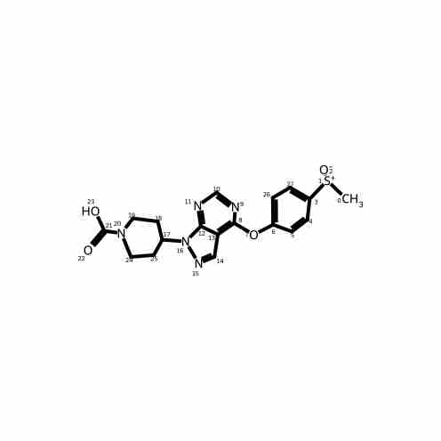 C[S+]([O-])c1ccc(Oc2ncnc3c2cnn3C2CCN(C(=O)O)CC2)cc1